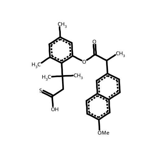 COc1ccc2cc(C(C)C(=O)Oc3cc(C)cc(C)c3C(C)(C)CC(O)=S)ccc2c1